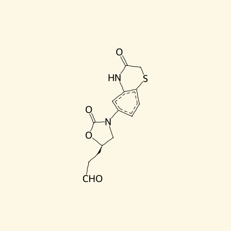 O=CCC[C@@H]1CN(c2ccc3c(c2)NC(=O)CS3)C(=O)O1